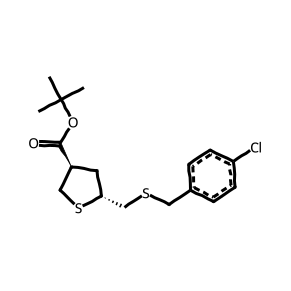 CC(C)(C)OC(=O)[C@@H]1CS[C@@H](CSCc2ccc(Cl)cc2)C1